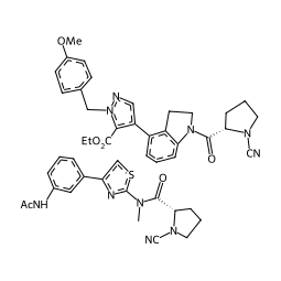 CC(=O)Nc1cccc(-c2csc(N(C)C(=O)[C@@H]3CCCN3C#N)n2)c1.CCOC(=O)c1c(-c2cccc3c2CCN3C(=O)[C@@H]2CCCN2C#N)cnn1Cc1ccc(OC)cc1